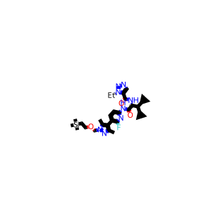 CCn1nncc1C(=O)N[C@H](C(=O)Nc1ccc(-c2c(C)nn(COCC[Si](C)(C)C)c2C)c(F)n1)C(C1CC1)C1CC1